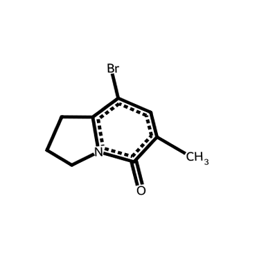 Cc1cc(Br)c2n(c1=O)CCC2